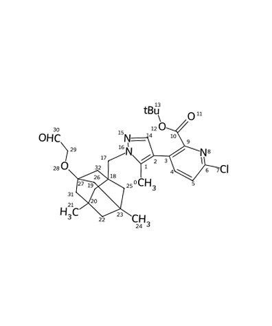 Cc1c(-c2ccc(Cl)nc2C(=O)OC(C)(C)C)cnn1CC12CC3(C)CC(C)(C1)CC(OCC=O)(C3)C2